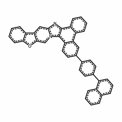 c1ccc2c(-c3ccc(-c4ccc5c(c4)c4ccccc4c4nc6cc7c(cn6c54)oc4ccccc47)cc3)cccc2c1